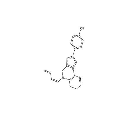 C=N/C=C\N1Cc2cc(-c3ccc(C#N)cc3)cn2C2=C1CCC=N2